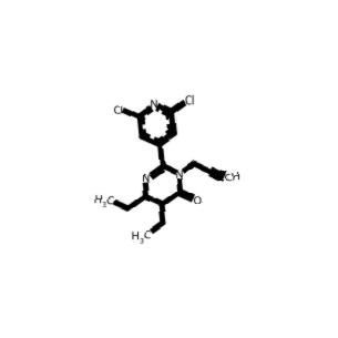 C#CCN1C(=O)C(CC)C(CC)N=C1c1cc(Cl)nc(Cl)c1